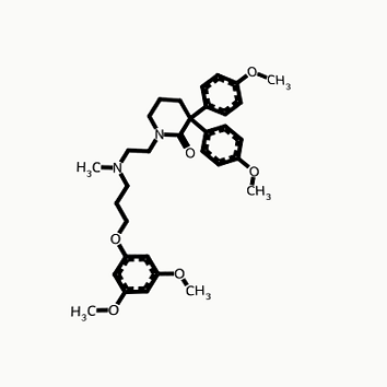 COc1ccc(C2(c3ccc(OC)cc3)CCCN(CCN(C)CCCOc3cc(OC)cc(OC)c3)C2=O)cc1